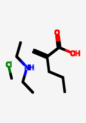 C=C(CCC)C(=O)O.CCNCC.CCl